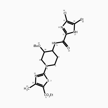 CCOC(=O)c1sc(N2CCC(NC(=O)c3nc(Cl)c(CC)[nH]3)C(OCC(C)C)C2)nc1C